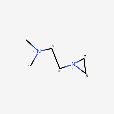 CN(C)CCN1CC1